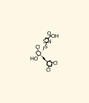 O=C(O)c1csc(SCC[C@@H]2[C@@H](C#Cc3cc(Cl)cc(Cl)c3)[C@H](O)C[C@H]2Cl)n1